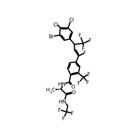 C[C@@H](NC(=O)c1ccc(/C(F)=C/C(c2cc(Cl)c(Cl)c(Br)c2)C(F)(F)F)cc1C(F)(F)F)C(=O)NCC(F)(F)F